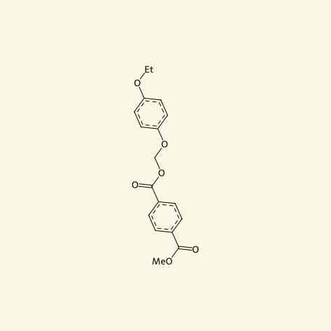 CCOc1ccc(OCOC(=O)c2ccc(C(=O)OC)cc2)cc1